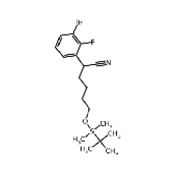 CC(C)(C)[Si](C)(C)OCCCCC(C#N)c1cccc(Br)c1F